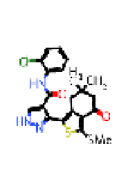 CSc1sc(-c2n[nH]cc2C(=O)Nc2ccccc2Cl)c2c1C(=O)CC(C)(C)C2